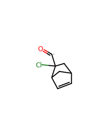 O=[C]C1(Cl)CC2C=CC1C2